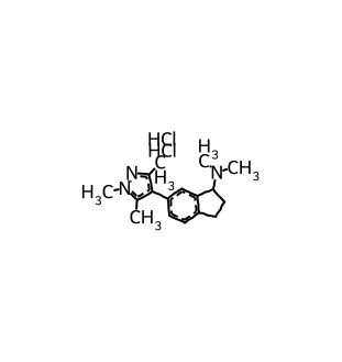 Cc1nn(C)c(C)c1-c1ccc2c(c1)C(N(C)C)CC2.Cl.Cl